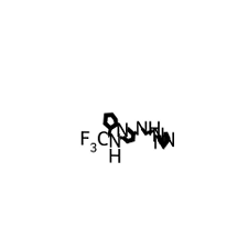 FC(F)(F)C(Nc1ccc(NCCn2cncn2)cn1)c1ccccc1